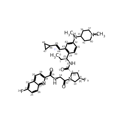 CC[C@H](NC(=O)[C@@H]1C[C@@H](F)CN1C(=O)CNC(=O)c1ccc2cc(F)ccc2n1)c1ccc(N(C)C2CCN(C)CC2)cc1/C=C/C1CC1